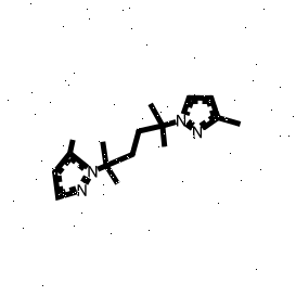 Cc1ccn(C(C)(C)CCC(C)(C)n2nccc2C)n1